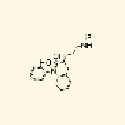 CC(C)NCCCC1CC2=C(CCC=C2)N(c2ccccc2)S1(O)O